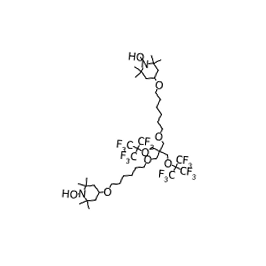 CC1(C)CC(OCCCCCCOCC(COCCCCCCOC2CC(C)(C)N(O)C(C)(C)C2)(COC(C(F)(F)F)(C(F)(F)F)C(F)(F)F)COC(C(F)(F)F)(C(F)(F)F)C(F)(F)F)CC(C)(C)N1O